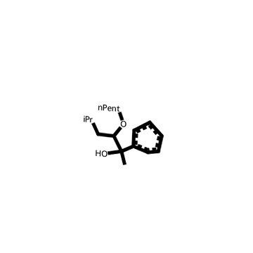 CCCCCOC(CC(C)C)C(C)(O)c1ccccc1